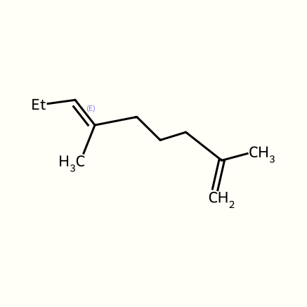 [CH2]C/C=C(\C)CCCC(=C)C